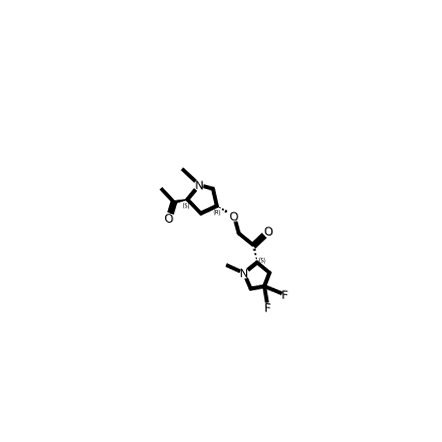 CC(=O)[C@@H]1C[C@@H](OCC(=O)[C@@H]2CC(F)(F)CN2C)CN1C